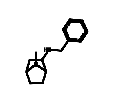 CN1C2CCC1C(NCc1ccccc1)C2